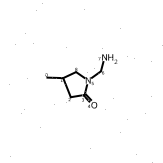 CC1CC(=O)N(CN)C1